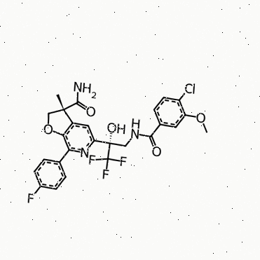 COc1cc(C(=O)NC[C@](O)(c2cc3c(c(-c4ccc(F)cc4)n2)OC[C@]3(C)C(N)=O)C(F)(F)F)ccc1Cl